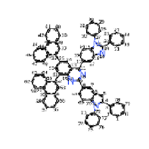 c1ccc(-c2cc3cc(-c4nc(-c5ccc6c(c5)nc(-c5ccccc5)n6-c5ccccc5)c5cc(-c6cc7ccccc7c7ccccc67)cc(-c6cc7ccccc7c7ccccc67)c5n4)ccc3n2-c2ccccc2)cc1